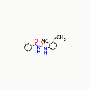 C=Cc1cccc(NC(=O)NC(=O)c2ccccc2)c1C#N